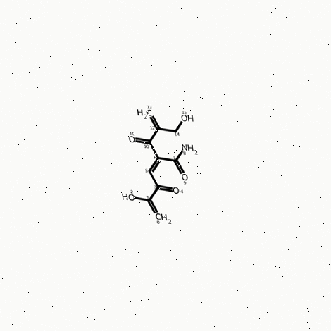 C=C(O)C(=O)C=C(C(N)=O)C(=O)C(=C)CO